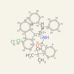 CC(C)(C)c1ccccc1C(=O)[NH][Zr+2]([CH]1c2ccccc2-c2ccccc21)[SiH](c1ccccc1)c1ccccc1.[Cl-].[Cl-]